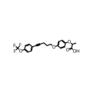 CC(Oc1ccc(OCCCC#Cc2ccc(OC(F)(F)F)cc2)cc1)C(=O)O